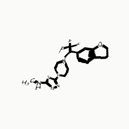 CNc1nnc(N2CCN(C(c3ccc4c(c3)OCC4)C(F)(F)F)CC2)s1